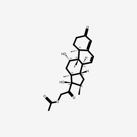 CC(=O)OCC(=O)[C@@]1(O)[C@H](C)C[C@H]2[C@@H]3C=CC4=CC(=O)CC[C@]4(C)[C@@]3(F)[C@@H](O)C[C@@]21C